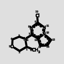 CC1COCCN1c1nc(Cl)nn2cccc12